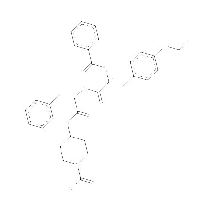 CCOc1ccc(C[C@@H](NC(=O)c2ccccc2)C(=O)N[C@@H](Cc2ccccc2)C(=O)NC2CCN(C(=N)N)CC2)cc1